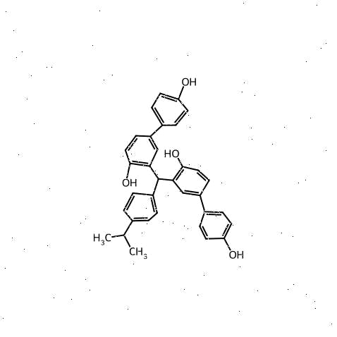 CC(C)c1ccc(C(c2cc(-c3ccc(O)cc3)ccc2O)c2cc(-c3ccc(O)cc3)ccc2O)cc1